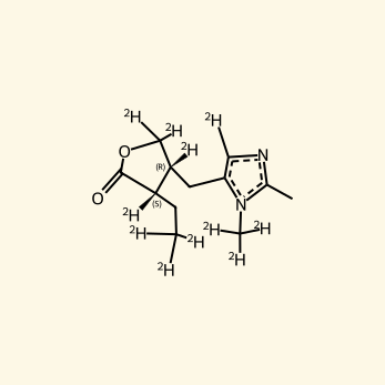 [2H]c1nc(C)n(C([2H])([2H])[2H])c1C[C@@]1([2H])C([2H])([2H])OC(=O)[C@@]1([2H])CC([2H])([2H])[2H]